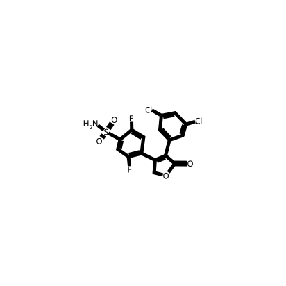 NS(=O)(=O)c1cc(F)c(C2=C(c3cc(Cl)cc(Cl)c3)C(=O)OC2)cc1F